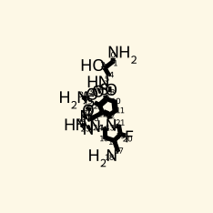 NCC(O)CNS(=O)(=O)c1ccc(N2CCC(CN)C(F)C2)c(-c2nn[nH]n2)c1S(N)(=O)=O